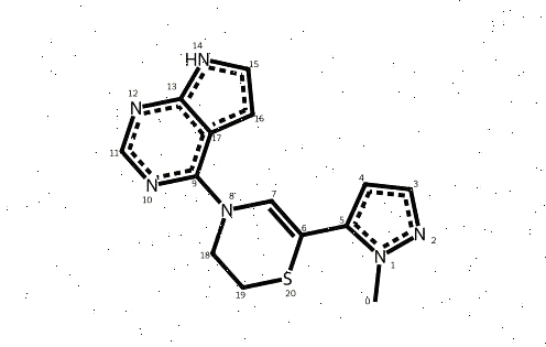 Cn1nccc1C1=CN(c2ncnc3[nH]ccc23)CCS1